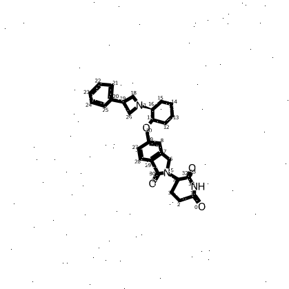 O=C1CCC(N2Cc3cc(OC4CCCC[C@@H]4N4CC(c5ccccc5)C4)ccc3C2=O)C(=O)N1